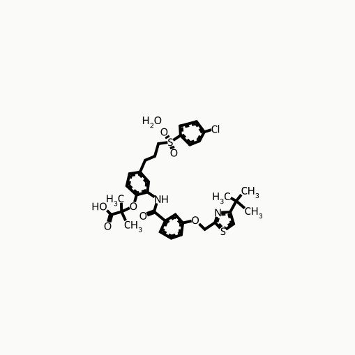 CC(C)(Oc1ccc(CCCS(=O)(=O)c2ccc(Cl)cc2)cc1NC(=O)c1cccc(OCc2nc(C(C)(C)C)cs2)c1)C(=O)O.O